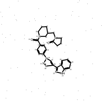 O=C1CCCN1CC1CCCN(C(=O)c2ccc(-n3cc(-c4n[nH]c5ccccc45)nn3)cc2)C1